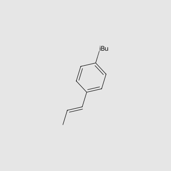 CC=Cc1ccc(C(C)CC)cc1